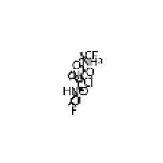 Cc1cc(NC(=O)c2c(Cl)c(C(=O)C(=O)NC(C)(C)C(F)(F)F)n3c2CCC3)ccc1F